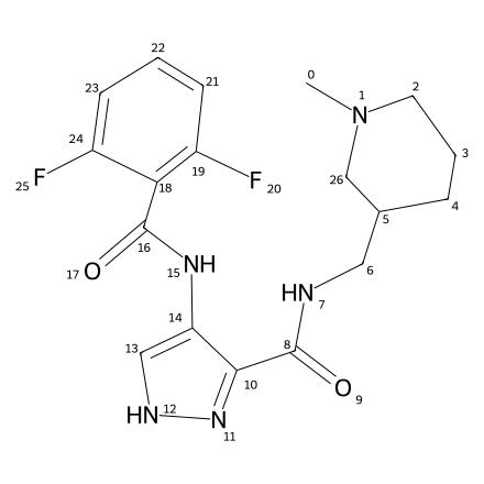 CN1CCCC(CNC(=O)c2n[nH]cc2NC(=O)c2c(F)cccc2F)C1